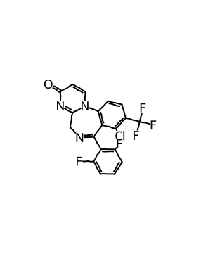 O=c1ccn2c(n1)CN=C(c1c(F)cccc1F)c1c-2ccc(C(F)(F)F)c1Cl